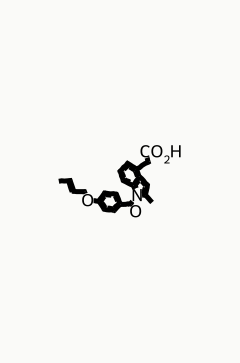 CC=CCOc1ccc(C(=O)n2c(C)cc3c(CC(=O)O)cccc32)cc1